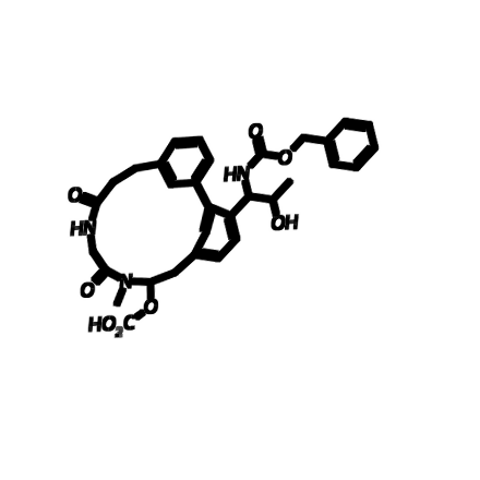 CC(O)C(NC(=O)OCc1ccccc1)c1ccc2cc1-c1cccc(c1)CCC(=O)NCC(=O)N(C)C(OC(=O)O)C2